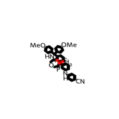 COc1ccc(C(NC2=N[C@](C)(c3cc(Nc4ccc(C#N)cc4)ccc3F)C(F)(F)COC2)(c2ccccc2)c2ccc(OC)cc2)cc1